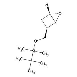 CC(C)(C)[Si](C)(C)OC[C@H]1C[C@@H]2OC12